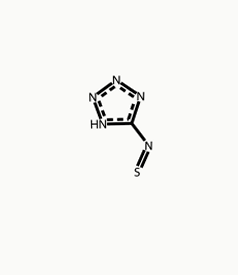 S=Nc1nnn[nH]1